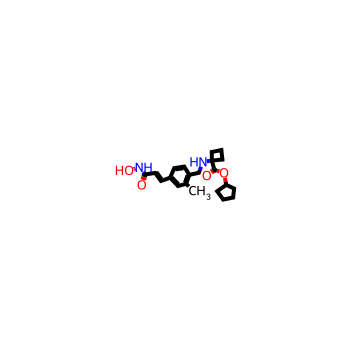 Cc1cc(C=CC(=O)NO)ccc1CNC1(C(=O)OC2CCCC2)CCC1